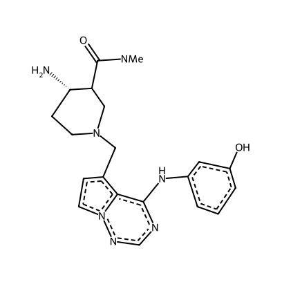 CNC(=O)C1CN(Cc2ccn3ncnc(Nc4cccc(O)c4)c23)CC[C@@H]1N